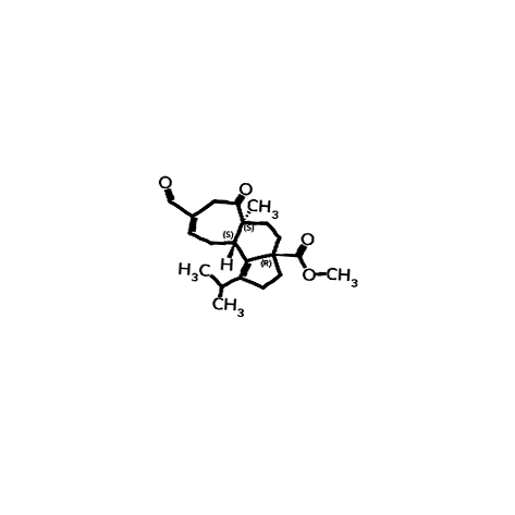 COC(=O)[C@@]12CCC(C(C)C)=C1[C@@H]1CC=C(C=O)CC(=O)[C@@]1(C)CC2